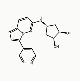 O[C@@H]1C[C@H](Nc2ccc3ncc(-c4ccncc4)n3n2)C[C@@H]1O